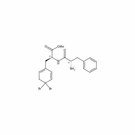 COC(=O)[C@H](CC1=CCC(Br)(Br)C=C1)NC(=O)[C@@H](N)Cc1ccccc1